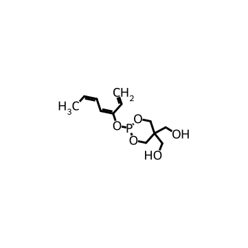 C=C/C(=C\C=C/C)OP1OCC(CO)(CO)CO1